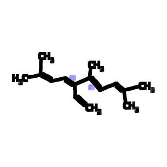 C=CC(=C\C=C(C)C)/C(C)=C/C=C(C)C